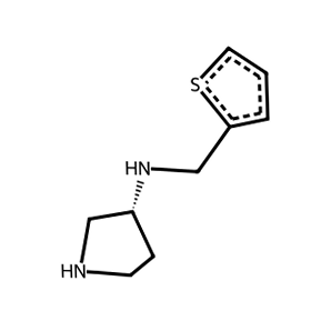 c1csc(CN[C@@H]2CCNC2)c1